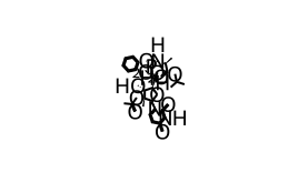 [2H]C([2H])(O[P@@](=O)(N[C@@H](C)C(=O)OC(C)C)Oc1ccccc1)[C@H]1O[C@@H](n2ccc(=O)[nH]c2=O)[C@](C)(OC(C)=O)[C@@H]1O